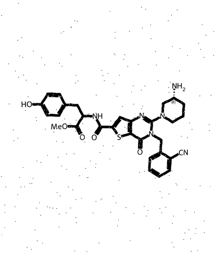 COC(=O)C(Cc1ccc(O)cc1)NC(=O)c1cc2nc(N3CCC[C@@H](N)C3)n(Cc3ccccc3C#N)c(=O)c2s1